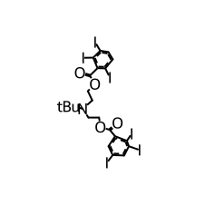 CC(C)(C)N(CCOC(=O)c1cc(I)cc(I)c1I)CCOC(=O)c1c(I)ccc(I)c1I